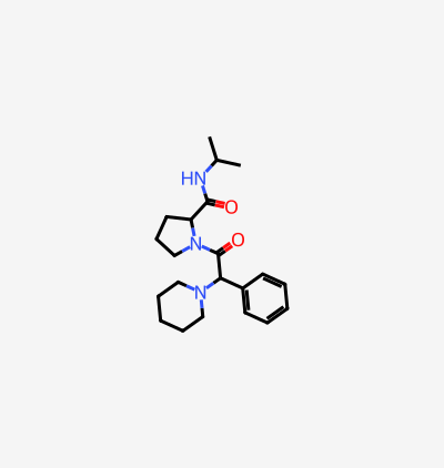 CC(C)NC(=O)C1CCCN1C(=O)C(c1ccccc1)N1CCCCC1